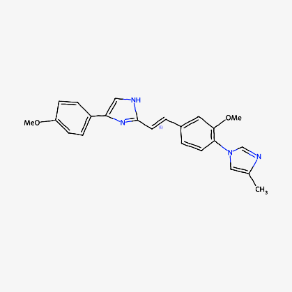 COc1ccc(-c2c[nH]c(/C=C/c3ccc(-n4cnc(C)c4)c(OC)c3)n2)cc1